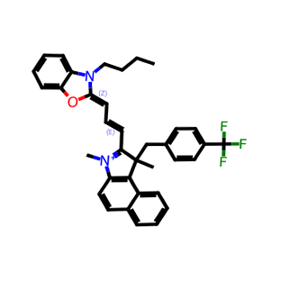 CCCCN1/C(=C/C=C/C2=[N+](C)c3ccc4ccccc4c3C2(C)Cc2ccc(C(F)(F)F)cc2)Oc2ccccc21